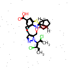 C=C/C(Cl)=C(\C(=C)Cl)n1ncc(C2CC2)c1CO[C@@H]1C[C@H]2CC[C@@H](C1)[C@]2(O)c1nc2c(F)cc(C(=O)O)cc2s1